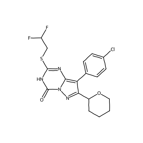 O=c1[nH]c(SCC(F)F)nc2c(-c3ccc(Cl)cc3)c(C3CCCCO3)nn12